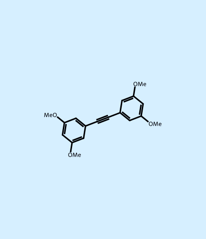 COc1cc(C#Cc2cc(OC)cc(OC)c2)cc(OC)c1